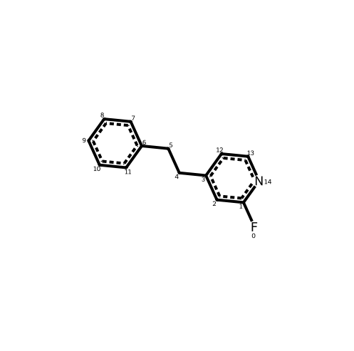 Fc1cc(CCc2ccccc2)ccn1